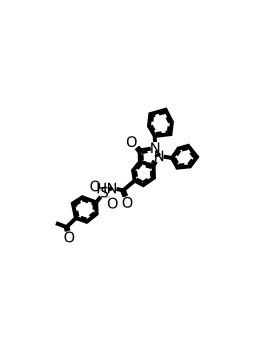 CC(=O)c1ccc(S(=O)(=O)NC(=O)c2ccc3c(c2)c(=O)n(-c2ccccc2)n3-c2ccccc2)cc1